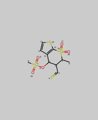 CC1C(C=S)C(OS(C)(=O)=O)c2ccsc2S1(=O)=O